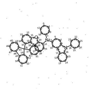 c1ccc(N(c2ccc3c(c2)c2ccccc2n3-c2ccccc2)c2cccc3c2oc2cccc(C4(c5ccccc5)c5ccccc5-c5ccccc54)c23)cc1